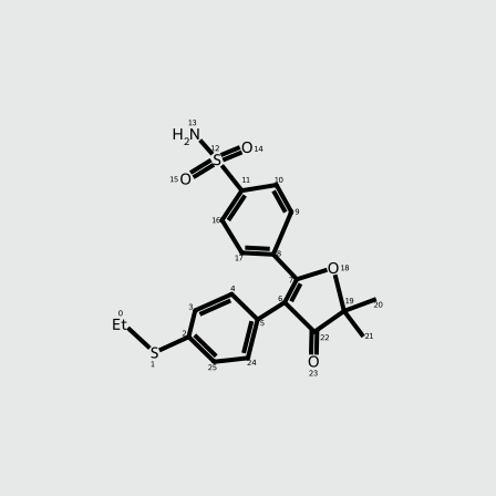 CCSc1ccc(C2=C(c3ccc(S(N)(=O)=O)cc3)OC(C)(C)C2=O)cc1